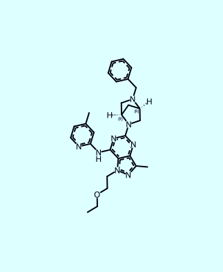 CCOCCn1nc(C)c2nc(N3C[C@H]4C[C@@H]3CN4Cc3ccccc3)nc(Nc3cc(C)ccn3)c21